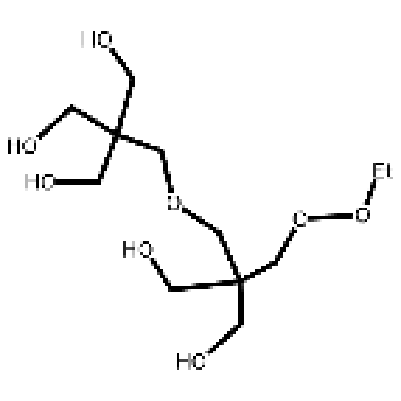 CCOOCC(CO)(CO)COCC(CO)(CO)CO